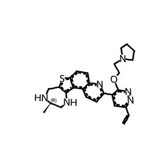 C=Cc1cc(-c2ccc3c(ccc4sc5c(c43)NC[C@@H](C)NC5)n2)c(OCCN2CCCC2)nn1